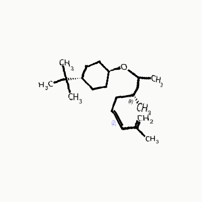 C=C(C)/C=C\C[C@@H](C)C(C)O[C@H]1CC[C@H](C(C)(C)C)CC1